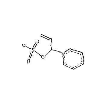 C=CC(OS(=O)(=O)[O-])[n+]1ccccc1